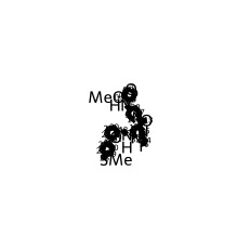 CO[C@@H]1COCC[C@@H]1NC1CCN(C(=O)c2cc(NC[C@H]3CCC[C@@H](c4ccc(SC)cc4)O3)nc(CF)n2)CC1